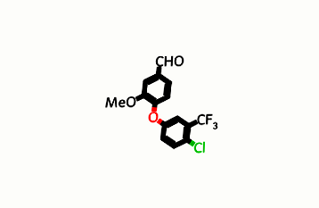 COc1cc(C=O)ccc1Oc1ccc(Cl)c(C(F)(F)F)c1